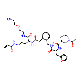 C=CC(=O)NCCC[C@H](NC(=O)Cc1ccccc1CNC(=O)[C@H](Cc1ccco1)NC(=O)[C@@H]1CCCN(C(C)=O)C1)C(=O)NCCOCCN